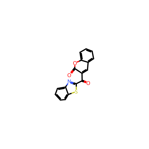 O=C(c1nc2ccccc2s1)c1cc2ccccc2oc1=O